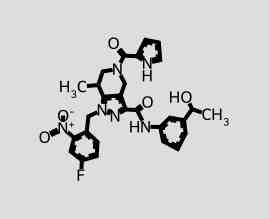 CC(O)c1cccc(NC(=O)c2nn(Cc3ccc(F)cc3[N+](=O)[O-])c3c2CN(C(=O)c2ccc[nH]2)CC3C)c1